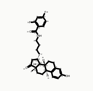 C[C@]12CC[C@@H]3c4ccc(O)cc4CC[C@H]3[C@@H]1[C@@H](CCCCNC(=O)c1ccc(F)cc1F)CC2=O